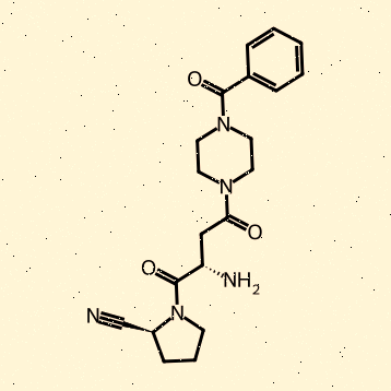 N#C[C@@H]1CCCN1C(=O)[C@@H](N)CC(=O)N1CCN(C(=O)c2ccccc2)CC1